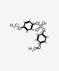 COc1ccc(OS(=O)(=O)Oc2ccc(OC)cc2)cc1